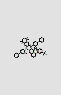 Cc1cc2c3c(c1)N(c1ccc(C(C)(C)C)cc1-c1ccccc1)c1cc(-c4ccccc4)ccc1B3c1cc3c(cc1N2c1ccc(-c2ccccc2)cc1C)C(C)(C)CCC3(C)C